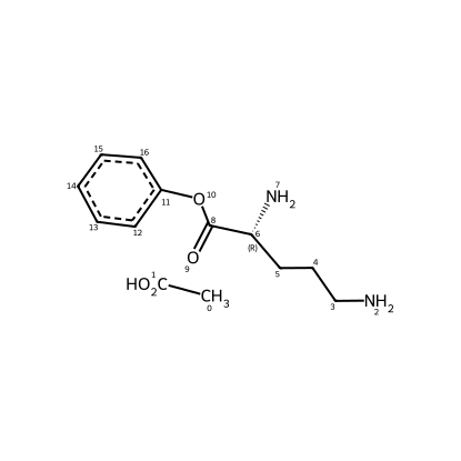 CC(=O)O.NCCC[C@@H](N)C(=O)Oc1ccccc1